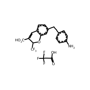 Nc1ccc(Cc2ccc3c(c2)OC(C(F)(F)F)C(C(=O)O)=C3)cc1.O=C(O)C(F)(F)F